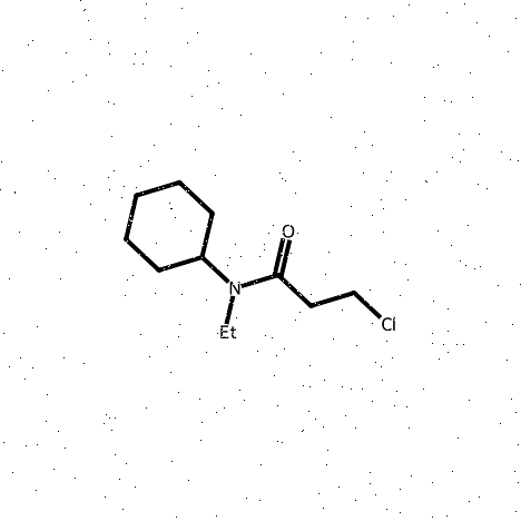 CCN(C(=O)CCCl)C1CCCCC1